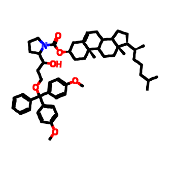 COc1ccc(C(OCCC(O)C2CCCN2C(=O)O[C@@H]2CC[C@]3(C)C(=CCC4C3CC[C@]3(C)C4CC[C@H]3[C@@H](C)CCCC(C)C)C2)(c2ccccc2)c2ccc(OC)cc2)cc1